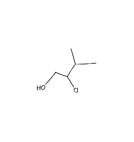 CC(C)C(Cl)CO